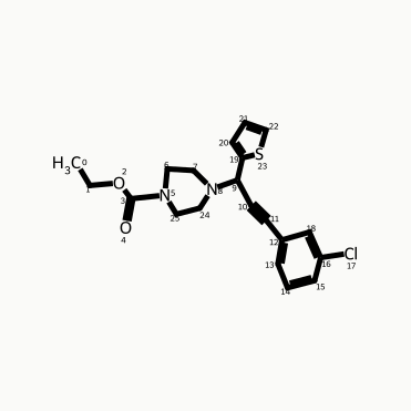 CCOC(=O)N1CCN(C(C#Cc2cccc(Cl)c2)c2cccs2)CC1